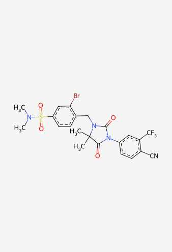 CN(C)S(=O)(=O)c1ccc(CN2C(=O)N(c3ccc(C#N)c(C(F)(F)F)c3)C(=O)C2(C)C)c(Br)c1